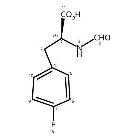 O=CN[C@@H](Cc1ccc(F)cc1)C(=O)O